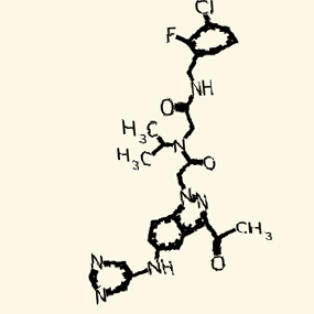 CC(=O)c1nn(CC(=O)N(CC(=O)NCc2cccc(Cl)c2F)C(C)C)c2ccc(Nc3cncnc3)cc12